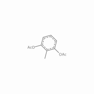 CC(=O)Oc1cccc(OC(C)=O)c1C